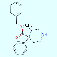 CC1CNCCC1(C(=O)OCc1ccccc1)c1ccccc1